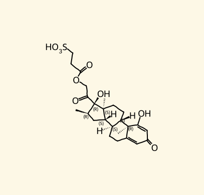 C[C@@H]1C[C@H]2[C@@H]3CCC4=CC(=O)C=C(O)[C@]4(C)[C@H]3CC[C@]2(C)[C@@]1(O)C(=O)COC(=O)CCS(=O)(=O)O